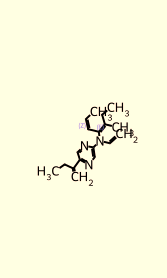 C=CN(C(/C=C\C)=C(\C)CC)c1cnc(C(=C)CC)cn1